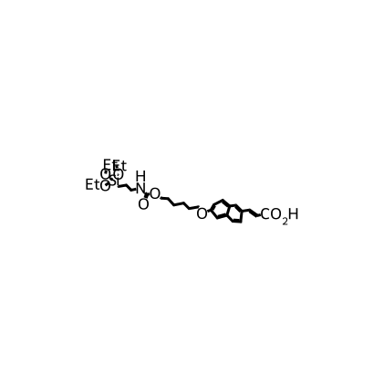 CCO[Si](CCCNC(=O)OCCCCCCOc1ccc2cc(/C=C/C(=O)O)ccc2c1)(OCC)OCC